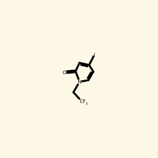 O=c1cc(I)ccn1CC(F)(F)F